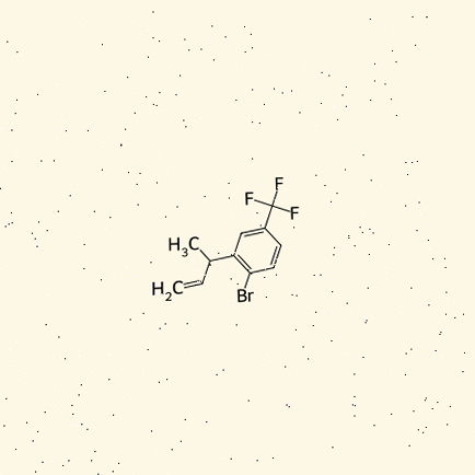 C=C[C](C)c1cc(C(F)(F)F)ccc1Br